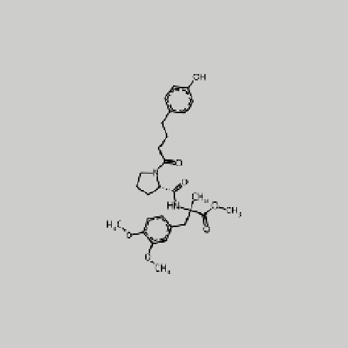 COC(=O)[C@](C)(Cc1ccc(OC)c(OC)c1)NC(=O)[C@@H]1CCCN1C(=O)CCCc1ccc(O)cc1